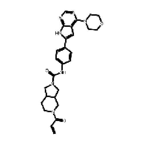 C=CC(=O)N1CCC2CN(C(=O)Nc3ccc(-c4cc5c(N6CCOCC6)ncnc5[nH]4)cc3)CC2C1